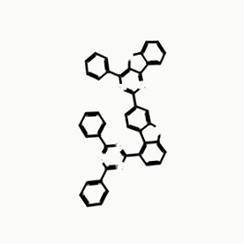 c1ccc(-c2nc(-c3ccccc3)nc(-c3cccc4oc5cc(-c6nc(-c7ccccc7)c7sc8ccccc8c7n6)ccc5c34)n2)cc1